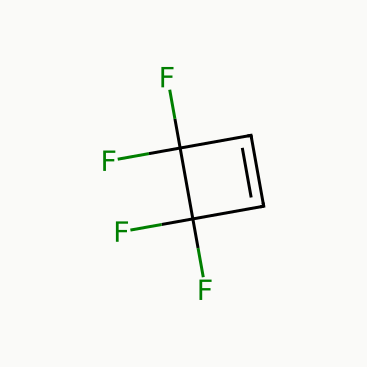 FC1(F)C=CC1(F)F